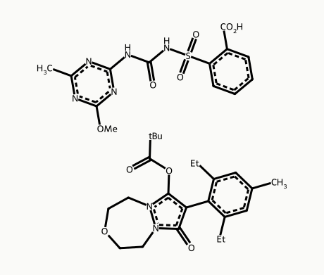 CCc1cc(C)cc(CC)c1-c1c(OC(=O)C(C)(C)C)n2n(c1=O)CCOCC2.COc1nc(C)nc(NC(=O)NS(=O)(=O)c2ccccc2C(=O)O)n1